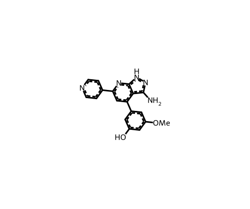 COc1cc(O)cc(-c2cc(-c3ccncc3)nc3[nH]nc(N)c23)c1